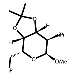 CO[C@H]1O[C@H](CC(C)C)[C@@H]2OC(C)(C)O[C@@H]2[C@H]1C(C)C